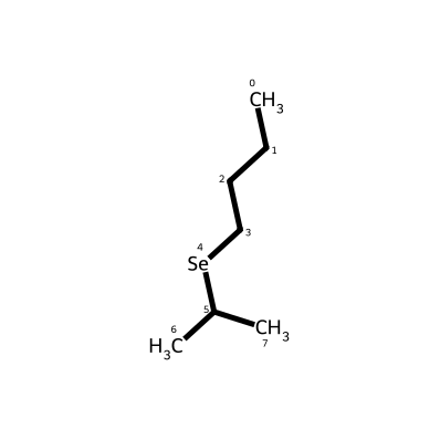 CCCC[Se]C(C)C